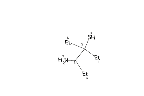 CCC(N)C(S)(CC)CC